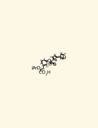 CC(C)OC(Cc1cccc(OS(=O)(=O)c2ccc(-c3ccon3)s2)c1)C(=O)O